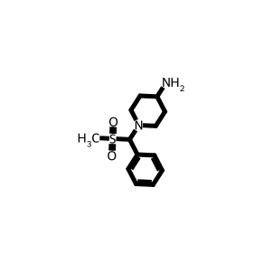 CS(=O)(=O)C(c1ccccc1)N1CCC(N)CC1